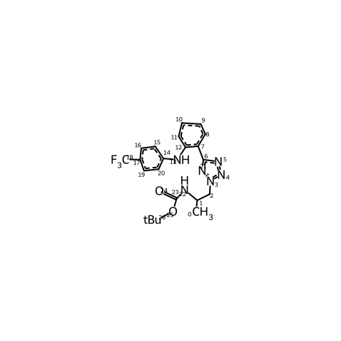 CC(Cn1nnc(-c2ccccc2Nc2ccc(C(F)(F)F)cc2)n1)NC(=O)OC(C)(C)C